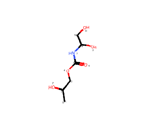 [CH2]C(O)COC(=O)NC(O)CO